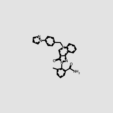 Cc1cccc(C(N)=O)c1-n1nc2c3ccccc3n(Cc3ccc(-n4cccn4)cc3)cc-2c1=O